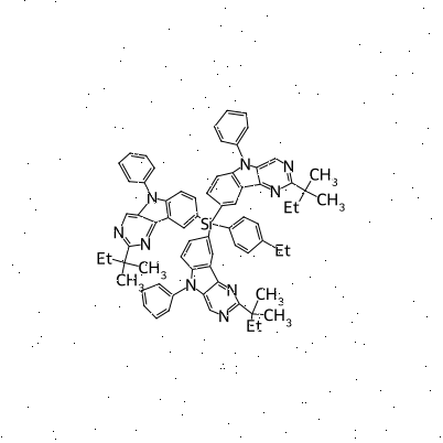 CCc1ccc([Si](c2ccc3c(c2)c2nc(C(C)(C)CC)ncc2n3-c2ccccc2)(c2ccc3c(c2)c2nc(C(C)(C)CC)ncc2n3-c2ccccc2)c2ccc3c(c2)c2nc(C(C)(C)CC)ncc2n3-c2ccccc2)cc1